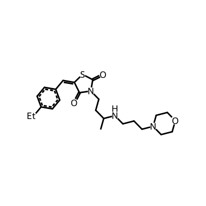 CCc1ccc(/C=C2/SC(=O)N(CCC(C)NCCCN3CCOCC3)C2=O)cc1